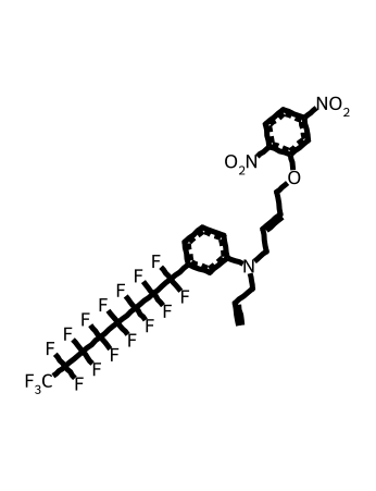 C=CCN(CC=CCOc1cc([N+](=O)[O-])ccc1[N+](=O)[O-])c1cccc(C(F)(F)C(F)(F)C(F)(F)C(F)(F)C(F)(F)C(F)(F)C(F)(F)C(F)(F)F)c1